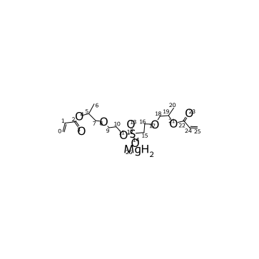 C=CC(=O)OC(C)COCCOS(=O)(=O)CCOCC(C)OC(=O)C=C.[MgH2]